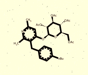 CCCCc1ccc(Cc2c(O[C@@H]3O[C@H](COC(C)=O)[C@@H](OC(C)=O)[C@H](OC(C)=O)[C@H]3OC(C)=O)cc(C)nc2C)cc1